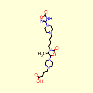 CC1C(N2CCN(CCCC(=O)O)CC2)OC(=O)N1CCCCN1CCN(c2noc(=O)[nH]2)CC1